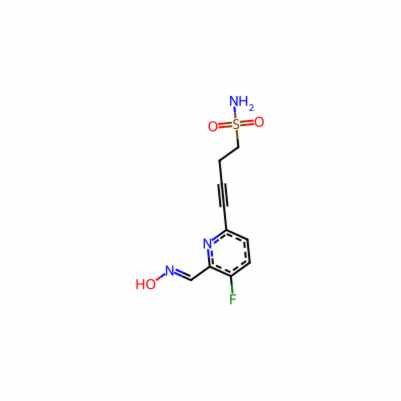 NS(=O)(=O)CCC#Cc1ccc(F)c(C=NO)n1